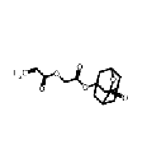 C=CC(=O)OCC(=O)OC12CC3CC(C1)OC(=O)C(C3)C2